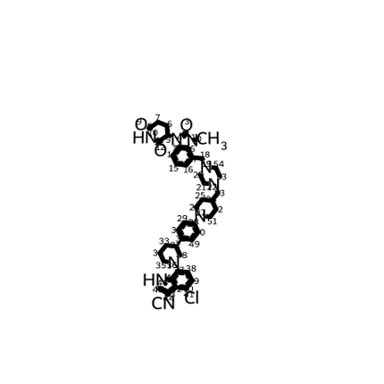 Cn1c(=O)n(C2CCC(=O)NC2=O)c2cccc(CN3CCN(CC4CCN(c5ccc([C@@H]6CCCN(c7ccc(Cl)c8c(C#N)c[nH]c78)C6)cc5)CC4)CC3)c21